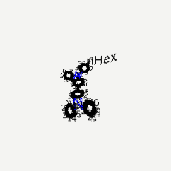 CCCCCCc1ccc(-n2c3ccccc3c3cc(-c4ccc(N(c5ccccc5)c5ccccc5)cc4)ccc32)cc1